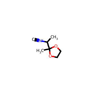 [C-]#[N+]C(C)C1(C)OCCO1